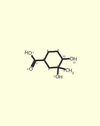 CC1(O)CC(C(=O)O)CCC1O